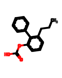 CCCc1cccc(OC(=O)O)c1-c1ccccc1